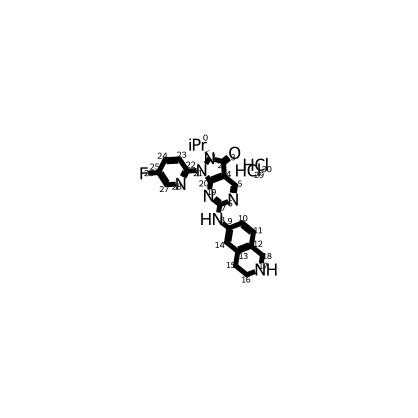 CC(C)n1c(=O)c2cnc(Nc3ccc4c(c3)CCNC4)nc2n1-c1ccc(F)cn1.Cl.Cl